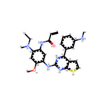 C=CC(=O)Nc1cc(Nc2nc(-c3cccc(NC)c3)c3ccsc3n2)c(OC)cc1N(C)CC